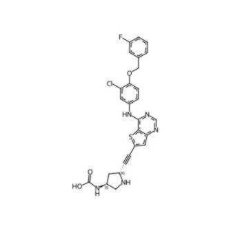 O=C(O)N[C@@H]1CN[C@@H](C#Cc2cc3ncnc(Nc4ccc(OCc5cccc(F)c5)c(Cl)c4)c3s2)C1